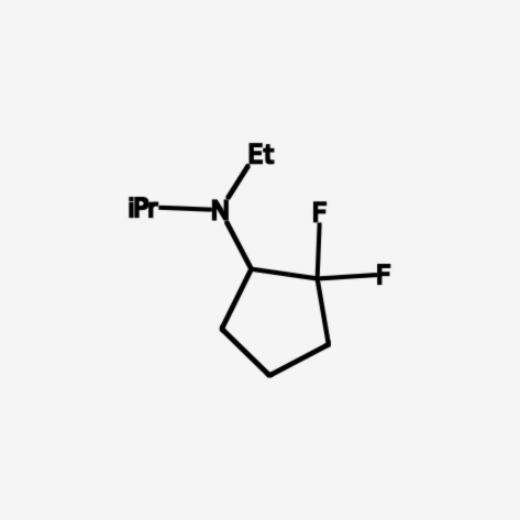 CCN(C(C)C)C1CCCC1(F)F